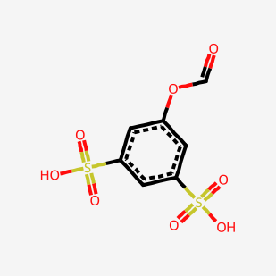 O=COc1cc(S(=O)(=O)O)cc(S(=O)(=O)O)c1